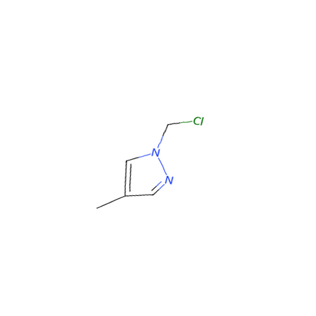 Cc1cnn(CCl)c1